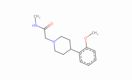 CNC(=O)CN1CCC(c2ccccc2OC)CC1